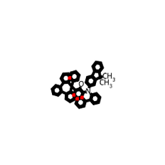 CC1(C)c2ccccc2-c2ccc(N(c3ccccc3-c3ccccc3)c3cccc4c3Oc3ccccc3C43c4ccccc4-c4ccccc4-c4ccccc43)cc21